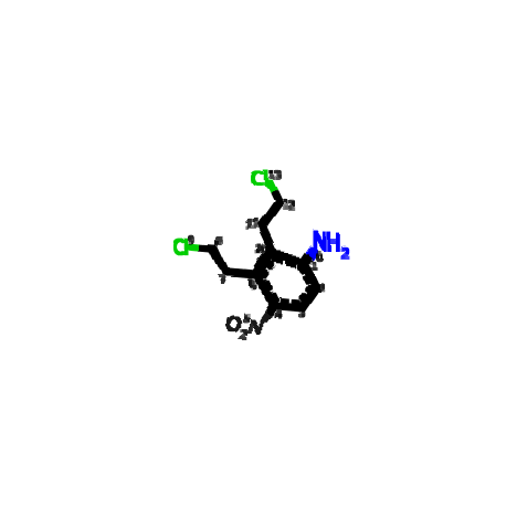 Nc1ccc([N+](=O)[O-])c(CCCl)c1CCCl